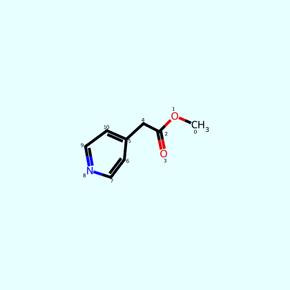 COC(=O)Cc1ccncc1